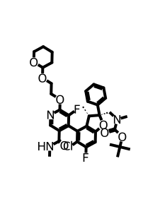 CNC(=O)c1cnc(OCCOC2CCCCO2)c(F)c1-c1c(Cl)c(F)cc2c1[C@H](C)[C@@](CN(C)C(=O)OC(C)(C)C)(c1ccccc1)O2